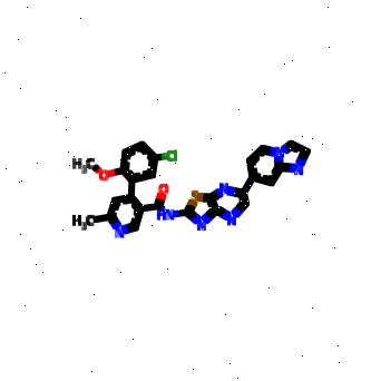 COc1ccc(Cl)cc1-c1cc(C)ncc1C(=O)Nc1nc2ncc(-c3ccn4ccnc4c3)nc2s1